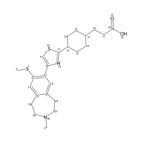 CSc1cc2c(cc1-c1csc(C3CCC(CCC(=O)O)CC3)n1)CCN(C)CC2